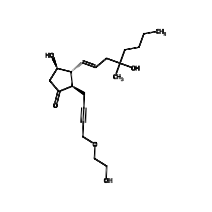 CCCCC(C)(O)C/C=C/[C@H]1[C@H](O)CC(=O)[C@@H]1CC#CCOCCO